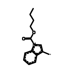 [CH2]c1cn(C(=O)OCCCC)c2ccccc12